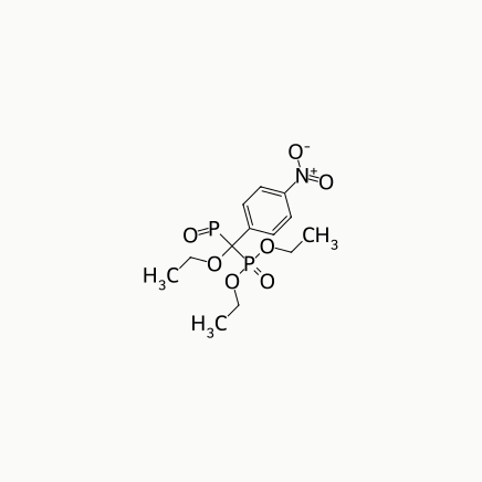 CCOC(P=O)(c1ccc([N+](=O)[O-])cc1)P(=O)(OCC)OCC